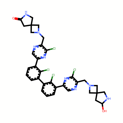 O=C1CC2(CN1)CN(Cc1ncc(-c3cccc(-c4cccc(-c5cnc(CN6CC7(CNC(O)C7)C6)c(Cl)n5)c4Cl)c3Cl)nc1Cl)C2